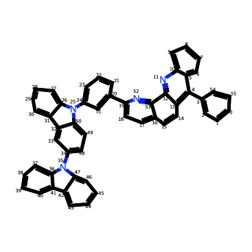 c1ccc(-c2c3ccccc3nc3c2ccc2ccc(-c4cccc(-n5c6ccccc6c6cc(-n7c8ccccc8c8ccccc87)ccc65)c4)nc23)cc1